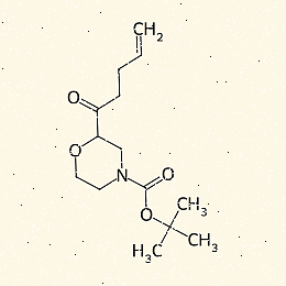 C=CCCC(=O)C1CN(C(=O)OC(C)(C)C)CCO1